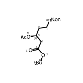 CCCCCCCCCCC[C@@H](CC(=O)OC(C)(C)C)OC(C)=O